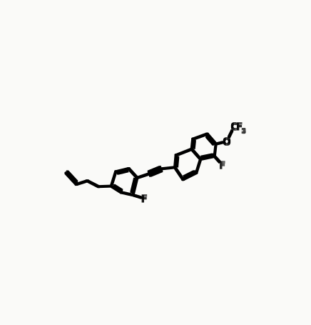 C=CCCc1ccc(C#Cc2ccc3c(F)c(OC(F)(F)F)ccc3c2)c(F)c1